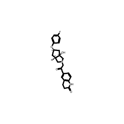 O=C1CCc2cc(C(=O)CN3C[C@@H]4C[C@@H](Oc5ccc(F)cc5)C[C@]4(O)C3)ccc2N1